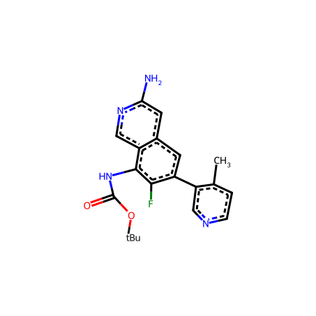 Cc1ccncc1-c1cc2cc(N)ncc2c(NC(=O)OC(C)(C)C)c1F